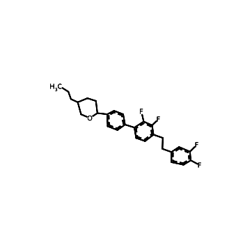 CCCC1CCC(c2ccc(-c3ccc(CCc4ccc(F)c(F)c4)c(F)c3F)cc2)OC1